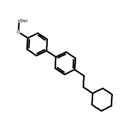 CCCCCCCCCCOc1ccc(-c2ccc(CCC3CC[CH]CC3)cc2)cc1